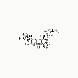 CN(C)S(=O)(=O)c1ccc(Nc2cc(NC3CCC(N)CC3)nn3ccnc23)cc1O